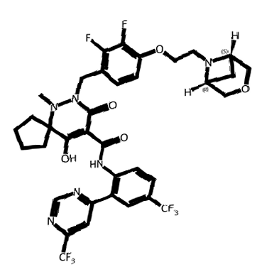 CN1N(Cc2ccc(OCCN3[C@@H]4COC[C@H]3C4)c(F)c2F)C(=O)C(C(=O)Nc2ccc(C(F)(F)F)cc2-c2cc(C(F)(F)F)ncn2)=C(O)C12CCCC2